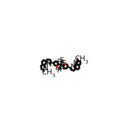 Cc1ccc2ccc3ccc(-c4ccc(C(c5ccc(-c6ccc7ccc8ccc(C)nc8c7n6)cc5)(C(F)(F)F)C(F)(F)F)cc4)nc3c2n1